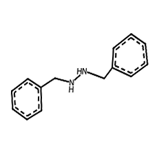 c1ccc(CNNCc2ccccc2)cc1